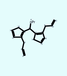 C=CCC1=C(C(CCC)C2=C(CC=C)C=CC2)CC=C1